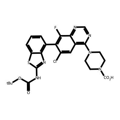 CC(C)(C)OC(=O)Nc1nc2c(-c3c(Cl)cc4c(N5CCN(C(=O)O)CC5)ncnc4c3F)cccc2s1